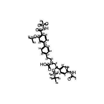 CC(=O)Nc1ccc([C@H](CN(CCc2ccc(-c3ccc(C(=O)NS(C)(=O)=O)c(OC(C)C)c3)cc2)C(=O)O)O[Si](C)(C)C(C)(C)C)cn1